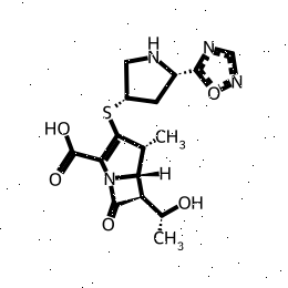 C[C@@H](O)[C@H]1C(=O)N2C(C(=O)O)=C(S[C@@H]3CN[C@H](c4ncno4)C3)[C@H](C)[C@H]12